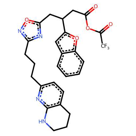 O=C(CC(Cc1nc(CCCc2ccc3c(n2)NCCC3)no1)c1cc2ccccc2o1)OC(=O)C(F)(F)F